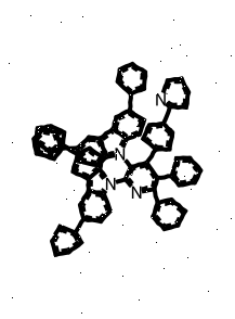 c1ccc(-c2ccc3c(c2)c2cc(-c4ccccc4)ccc2n3-c2nc(-c3ccccc3)c(-c3ccccc3)c(-c3ccc(-c4ccccn4)cc3)c2-n2c3ccc(-c4ccccc4)cc3c3cc(-c4ccccc4)ccc32)cc1